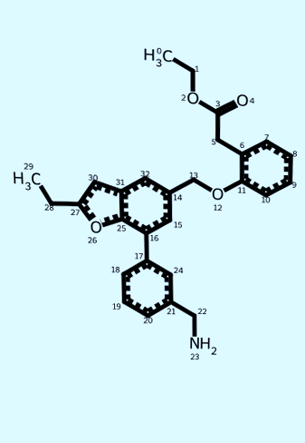 CCOC(=O)Cc1ccccc1OCc1cc(-c2cccc(CN)c2)c2oc(CC)cc2c1